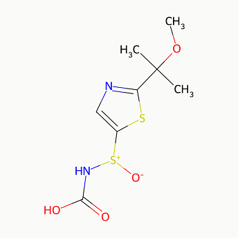 COC(C)(C)c1ncc([S+]([O-])NC(=O)O)s1